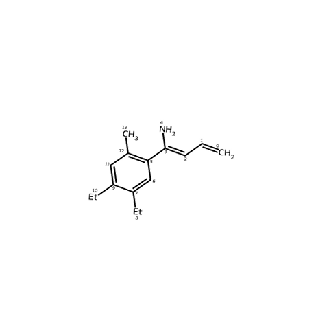 C=C/C=C(\N)c1cc(CC)c(CC)cc1C